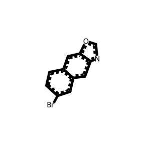 Brc1ccc2cc3ocnc3cc2c1